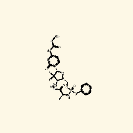 CO[C@@H]1[C@@H](COP(=O)(N[C@@H](C)C(=O)OC(C)C)Oc2ccccc2)O[C@@H](n2ccc(NC(=O)OC(C)(C)C)nc2=O)C1(F)F